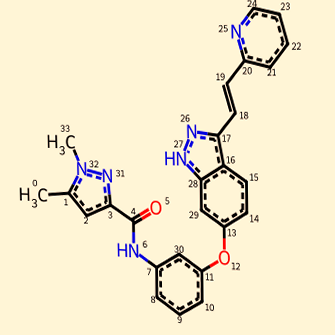 Cc1cc(C(=O)Nc2cccc(Oc3ccc4c(/C=C/c5ccccn5)n[nH]c4c3)c2)nn1C